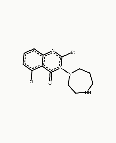 CCc1nc2cccc(Cl)c2c(=O)n1N1CCCNCC1